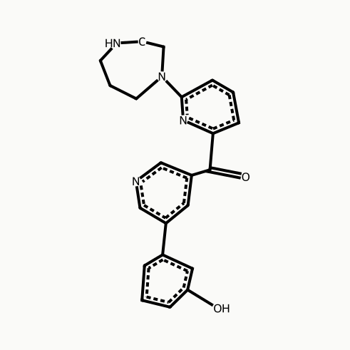 O=C(c1cncc(-c2cccc(O)c2)c1)c1cccc(N2CCCNCC2)n1